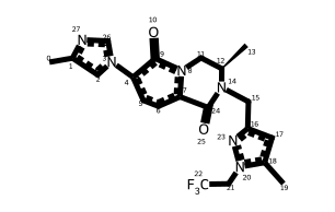 Cc1cn(-c2ccc3n(c2=O)C[C@@H](C)N(Cc2cc(C)n(CC(F)(F)F)n2)C3=O)cn1